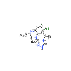 CCC(c1c(Cl)c(Cl)cc2nc(OC)c(OC)nc12)n1cnnc1